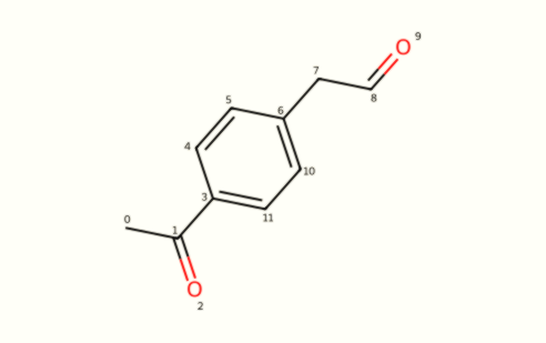 CC(=O)c1ccc(CC=O)cc1